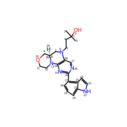 CC(C)(O)CCN1C[C@@H]2COCCN2c2nc(-c3cccc4[nH]ccc34)ncc21